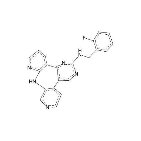 Fc1ccccc1CNc1ncc2c(n1)-c1cccnc1Nc1cnccc1-2